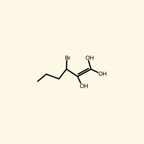 CCCC(Br)C(O)=C(O)O